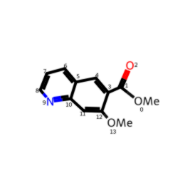 COC(=O)c1cc2cccnc2cc1OC